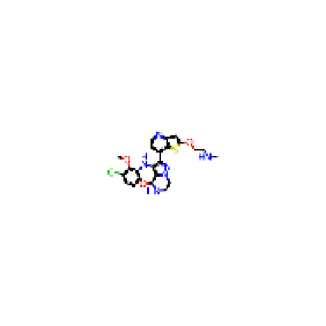 CNCCOc1cc2nccc(-c3nn4c(c3Nc3cccc(Cl)c3OC)C(=O)NCC4)c2s1